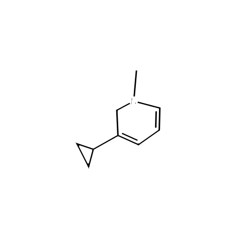 CN1C=CC=C(C2CC2)C1